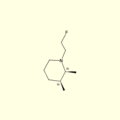 C[C@H]1CCCN(CCF)[C@H]1C